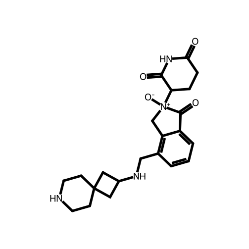 O=C1CCC([N+]2([O-])Cc3c(CNC4CC5(CCNCC5)C4)cccc3C2=O)C(=O)N1